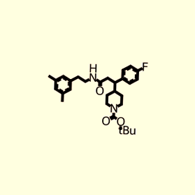 Cc1cc(C)cc(CCNC(=O)CC(c2ccc(F)cc2)C2CCN(C(=O)OC(C)(C)C)CC2)c1